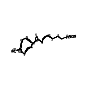 CCCCCCCCCCCCCCOc1ccc(C#N)cc1